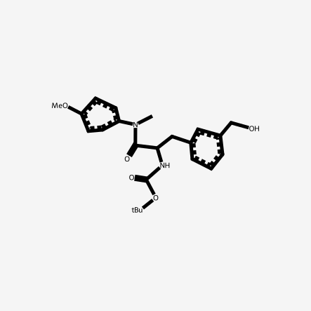 COc1ccc(N(C)C(=O)C(Cc2cccc(CO)c2)NC(=O)OC(C)(C)C)cc1